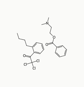 CCCCc1ccccc1C(=O)C(Cl)(Cl)Cl.CN(C)CCOC(=O)c1ccccc1